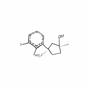 Cc1c(F)cccc1[C@]1(C(=O)O)CC[C@](C)(O)C1